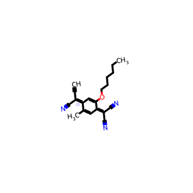 C#C/C(C#N)=c1\cc(OCCCCCC)c(=C(C#N)C#N)cc1C